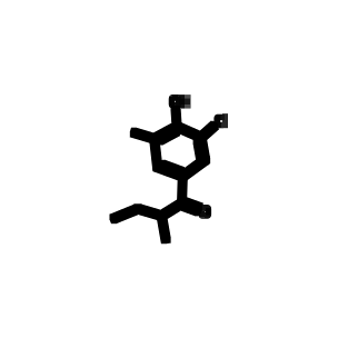 CCC(C)C(=O)c1cc(C)c(O)c(Cl)c1